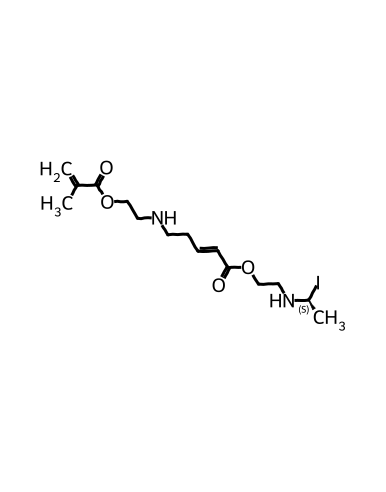 C=C(C)C(=O)OCCNCCC=CC(=O)OCCN[C@H](C)I